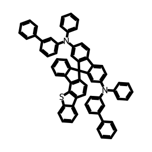 c1ccc(-c2cccc(N(c3ccccc3)c3ccc4c(c3)C3(c5cc(N(c6ccccc6)c6cccc(-c7ccccc7)c6)ccc5-4)c4ccccc4-c4c3ccc3c4sc4ccccc43)c2)cc1